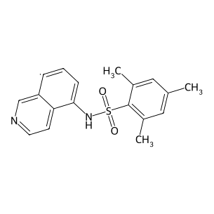 Cc1cc(C)c(S(=O)(=O)Nc2cc[c]c3cnccc23)c(C)c1